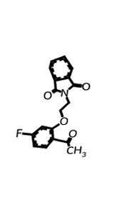 CC(=O)c1ccc(F)cc1OCCN1C(=O)c2ccccc2C1=O